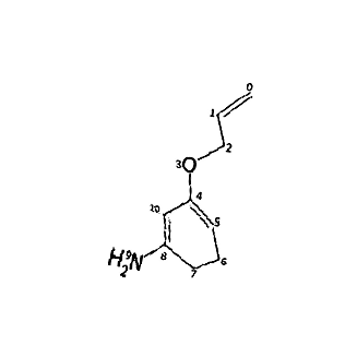 C=CCOC1=CCCC(N)=C1